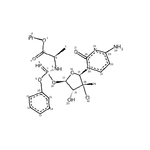 CC(C)OC(=O)[C@@H](C)N[P@@](=P)(Oc1ccccc1)O[C@H]1O[C@@H](n2ccc(N)nc2=O)[C@](C)(Cl)[C@@H]1O